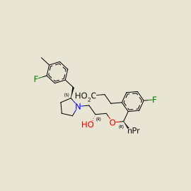 CCC[C@@H](OC[C@H](O)CN1CCC[C@H]1Cc1ccc(C)c(F)c1)c1cc(F)ccc1CCC(=O)O